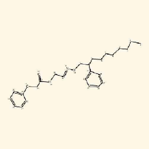 CCCCCCCCC(CON=CCOC(=O)COc1ccccc1)c1ccccc1